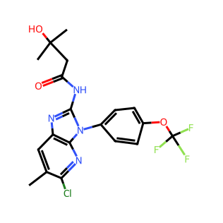 Cc1cc2nc(NC(=O)CC(C)(C)O)n(-c3ccc(OC(F)(F)F)cc3)c2nc1Cl